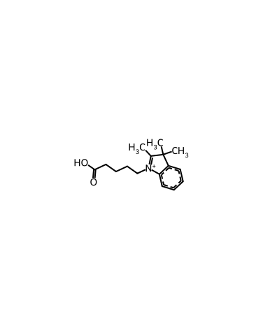 CC1=[N+](CCCCC(=O)O)c2ccccc2C1(C)C